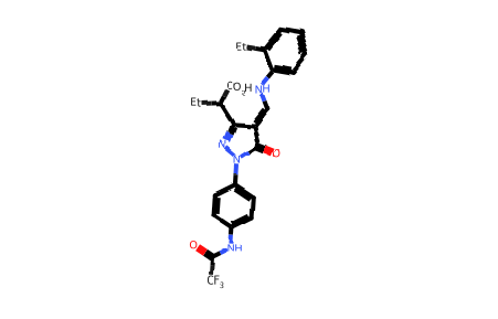 CCc1ccccc1NC=C1C(=O)N(c2ccc(NC(=O)C(F)(F)F)cc2)N=C1C(CC)C(=O)O